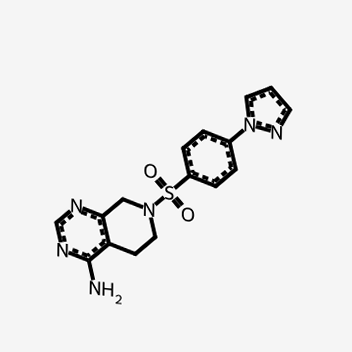 Nc1ncnc2c1CCN(S(=O)(=O)c1ccc(-n3cccn3)cc1)C2